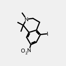 CN1CCc2c(I)cc([N+](=O)[O-])cc2C1(C)C